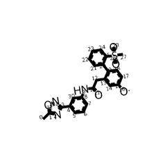 Cc1nc(-c2cccc(NC(=O)Cc3cc([O])ccc3-c3ccccc3S(C)(=O)=O)c2)no1